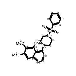 COc1cc2ncnc(N3CCN(S(=O)(=O)c4ccccc4)CC3)c2c(OC)c1OC